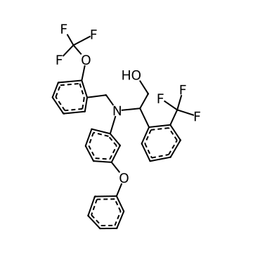 OCC(c1ccccc1C(F)(F)F)N(Cc1ccccc1OC(F)(F)F)c1cccc(Oc2ccccc2)c1